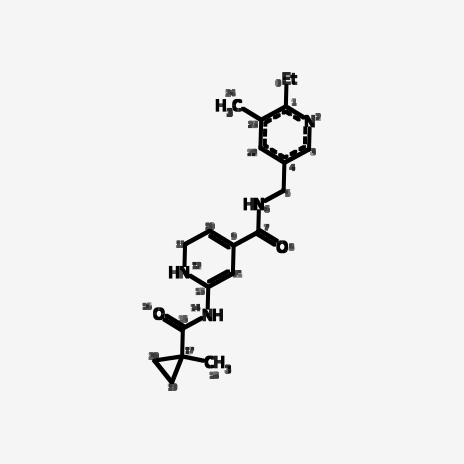 CCc1ncc(CNC(=O)C2=CCNC(NC(=O)C3(C)CC3)=C2)cc1C